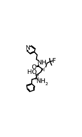 CC(C)(F)CC[C@H](C[C@H](O)[C@@H](N)Cc1ccccc1)C(=O)NCCc1ccncc1